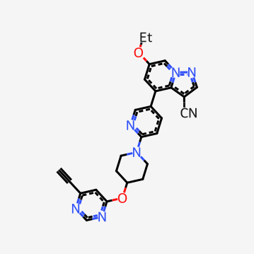 C#Cc1cc(OC2CCN(c3ccc(-c4cc(OCC)cn5ncc(C#N)c45)cn3)CC2)ncn1